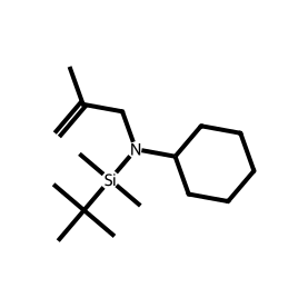 C=C(C)CN(C1CCCCC1)[Si](C)(C)C(C)(C)C